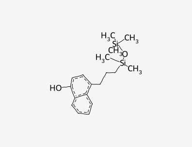 C[Si](C)(C)O[Si](C)(C)CCCc1ccc(O)c2ccccc12